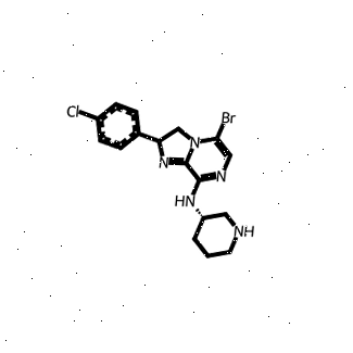 Clc1ccc(C2CN3C(Br)=CN=C(N[C@H]4CCCNC4)C3=N2)cc1